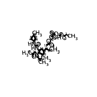 CCC(=O)OCOP(=O)(O)OCOC(=O)C[C@H](CC)c1ccc(N(CC(C)C)CC(C)C)c(NC(=O)Nc2ccc(C)cc2)c1